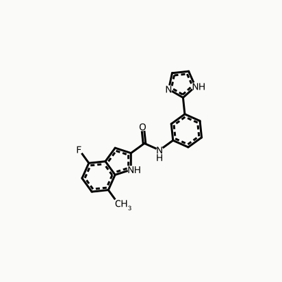 Cc1ccc(F)c2cc(C(=O)Nc3cccc(-c4ncc[nH]4)c3)[nH]c12